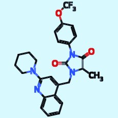 CC1C(=O)N(c2ccc(OC(F)(F)F)cc2)C(=O)N1Cc1cc(N2CCCCC2)nc2ccccc12